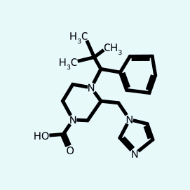 CC(C)(C)C(c1ccccc1)N1CCN(C(=O)O)CC1Cn1ccnc1